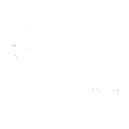 O=C(O)NCc1ccc(-c2cc(-c3n[nH]c(=O)o3)ccc2C(F)(F)F)cc1